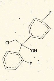 OC(CCl)(c1ccc(F)cc1)c1ccccc1F